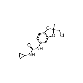 CC1(CCl)Oc2ccc(NC(=O)NC3CC3)cc2O1